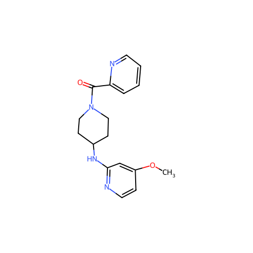 COc1ccnc(NC2CCN(C(=O)c3ccccn3)CC2)c1